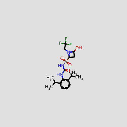 CC(C)c1cccc(C(C)C)c1NC(=O)NS(=O)(=O)C1CC(O)N1CC(F)(F)F